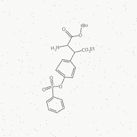 CCOC(=O)C(c1ccc(OS(=O)(=O)c2ccccc2)cc1)C(N)C(=O)OC(C)(C)C